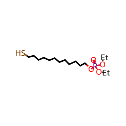 CCOP(=O)(OCC)OCCCCCCCCCCCCS